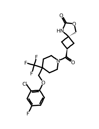 O=C1N[C@]2(CO1)C[C@H](C(=O)N1CCC(COc3ccc(F)cc3Cl)(C(F)(F)F)CC1)C2